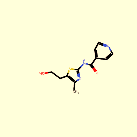 Cc1nc(NC(=O)c2ccncc2)sc1CCO